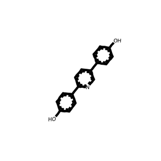 Oc1ccc(-c2ccc(-c3ccc(O)cc3)nc2)cc1